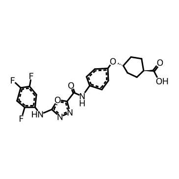 O=C(Nc1ccc(O[C@H]2CC[C@H](C(=O)O)CC2)cc1)c1nnc(Nc2cc(F)c(F)cc2F)o1